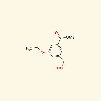 COC(=O)c1cc(CO)cc(OCC(F)(F)F)c1